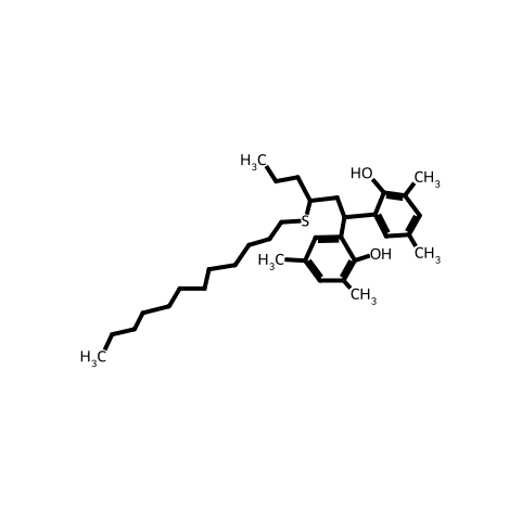 CCCCCCCCCCCCSC(CCC)CC(c1cc(C)cc(C)c1O)c1cc(C)cc(C)c1O